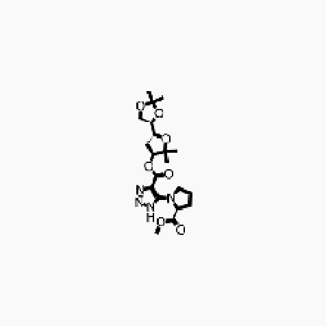 COC(=O)[C@@H]1CCCN1c1[nH]nnc1C(=O)OC1C[C@H]([C@H]2COC(C)(C)O2)OC1(C)C